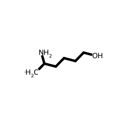 [CH2]C(N)CCCCO